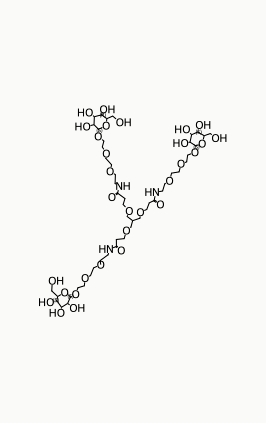 O=C(CCOCC(COCCC(=O)NCCOCCOCCO[C@H]1OC(CO)[C@@H](O)C(O)C1O)COCCC(=O)NCCOCCOCCO[C@H]1OC(CO)[C@H](O)C(O)C1O)NCCOCCOCCO[C@H]1OC(CO)[C@@H](O)C(O)C1O